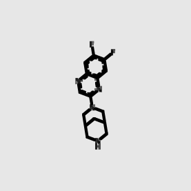 Fc1cc2ncc(N3CC4CNCC(C4)C3)nc2cc1F